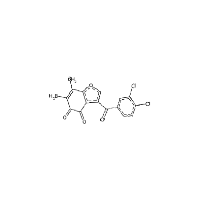 BC1=C(B)c2occ(C(=O)c3ccc(Cl)c(Cl)c3)c2C(=O)C1=O